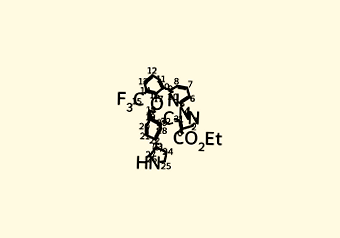 CCOC(=O)c1cnn(-c2cccc(-c3cccc(C(F)(F)F)c3OCc3ccc([C@@H]4CCNC4)cc3)n2)c1C(F)(F)F